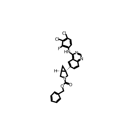 O=C(OCc1ccccc1)N1C[C@H]2C[C@@]2(c2ccc3ncnc(Nc4ccc(Cl)c(Cl)c4F)c3c2)C1